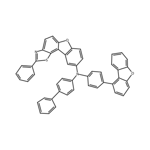 c1ccc(-c2ccc(N(c3ccc(-c4cccc5oc6ccccc6c45)cc3)c3ccc4oc5ccc6nc(-c7ccccc7)sc6c5c4c3)cc2)cc1